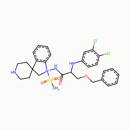 CS(=O)(=O)[N+]1(NC(=O)C(COCc2ccccc2)Nc2ccc(Cl)c(Cl)c2)CC2(CCNCC2)c2ccccc21